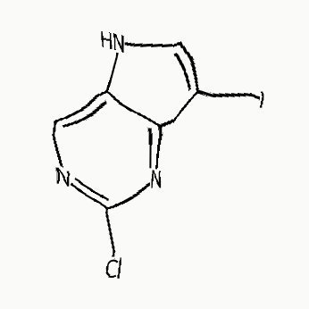 Clc1ncc2[nH]cc(I)c2n1